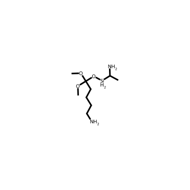 COC(CCCCN)(OC)O[SiH2]C(C)N